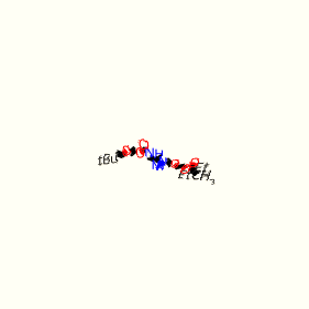 CCC(C)(CC)C(=O)OCCOCCn1cc(CNC(=O)OCCOCCC(C)(C)C)nn1